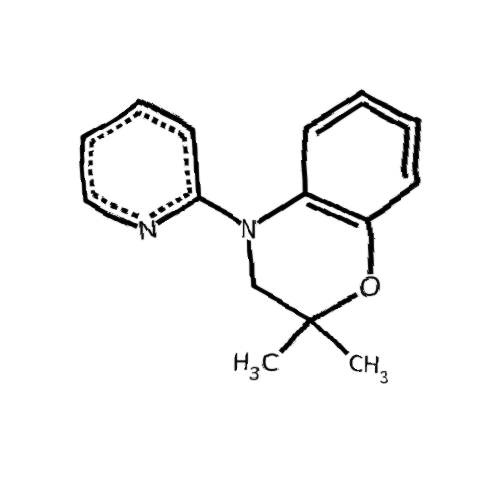 CC1(C)CN(c2ccccn2)C2=C(C=C=C=C2)O1